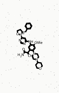 C=C(C(N)=O)c1cc(Nc2cc(N3OCC[C@H]3Cc3ccccc3)ncn2)c(OC)cc1N1CCN(C2CCOCC2)CC1